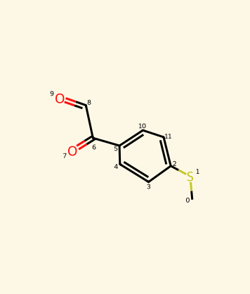 CSc1ccc(C(=O)C=O)cc1